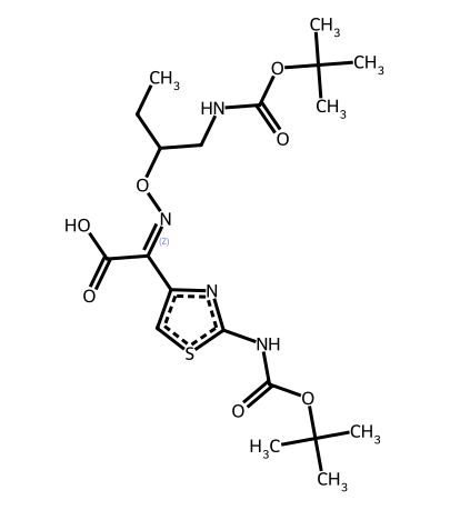 CCC(CNC(=O)OC(C)(C)C)O/N=C(\C(=O)O)c1csc(NC(=O)OC(C)(C)C)n1